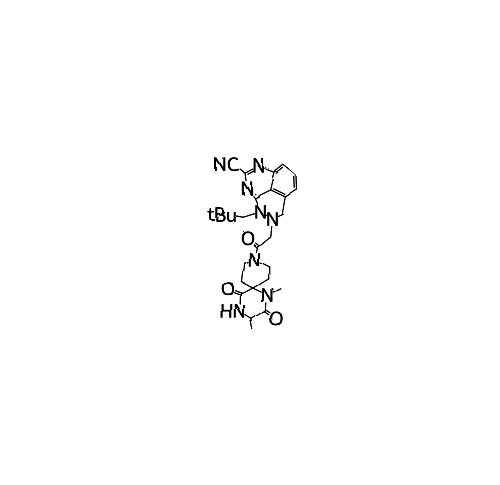 CC1NC(=O)C2(CCN(C(=O)CN3Cc4cccc5nc(C#N)nc(c45)N3CC(C)(C)C)CC2)N(C)C1=O